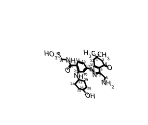 CC1(C)CC(=O)c2c(CN)nn(-c3ccc(C(=O)NCS(=O)(=O)O)c(NC4CCC(O)CC4)c3)c2C1